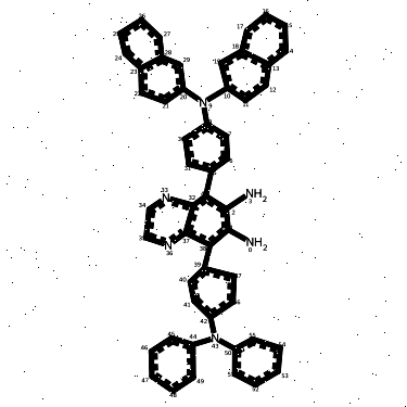 Nc1c(N)c(-c2ccc(N(c3ccc4ccccc4c3)c3ccc4ccccc4c3)cc2)c2nccnc2c1-c1ccc(N(c2ccccc2)c2ccccc2)cc1